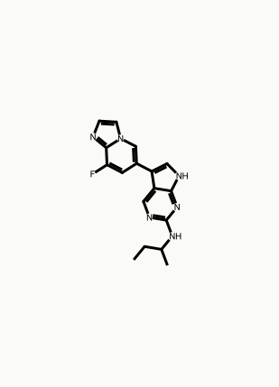 CCC(C)Nc1ncc2c(-c3cc(F)c4nccn4c3)c[nH]c2n1